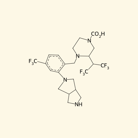 O=C(O)N1CCN(Cc2ccc(C(F)(F)F)cc2N2CC3CNCC3C2)C(C(C(F)(F)F)C(F)(F)F)C1